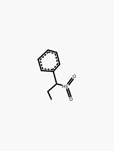 CCC(c1ccccc1)[SH](=O)=O